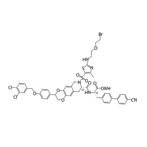 COC(=O)[C@H](Cc1ccc(-c2ccc(C#N)cc2)cc1)NC(=O)[C@@H]1Cc2cc3c(cc2CN1S(=O)(=O)c1sc(NCCOCCBr)nc1C)OC(c1ccc(OCc2ccc(Cl)c(Cl)c2)cc1)CO3